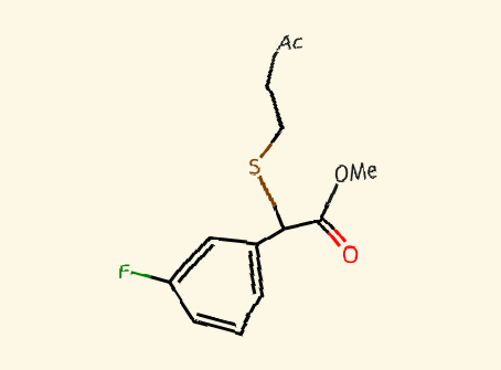 COC(=O)C(SCCC(C)=O)c1cccc(F)c1